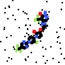 C[C@@H](CO[C@@H]1CCN([C@H]2CCN(c3ncc(C(F)(F)F)cn3)C[C@H]2F)C1=O)Nc1cn[nH]c(=O)c1C(F)(F)F